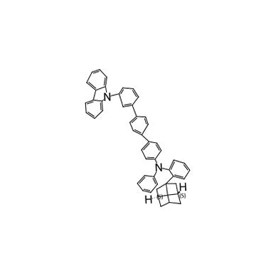 c1ccc(N(c2ccc(-c3ccc(-c4cccc(-n5c6ccccc6c6ccccc65)c4)cc3)cc2)c2ccccc2C23C[C@@H]4CC5C[C@@H](C2)C543)cc1